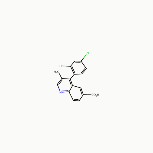 Cc1cnc2ccc(C(=O)O)cc2c1-c1ccc(Cl)cc1Cl